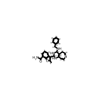 Cc1oc2c(C(N)=O)cccc2c1C1NC2=C(CC=NC=C2)C(NCc2ccccc2)N1